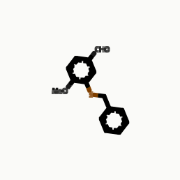 COc1ccc(C=O)cc1SCc1ccccc1